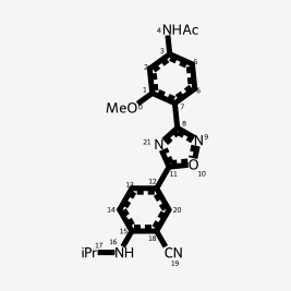 COc1cc(NC(C)=O)ccc1-c1noc(-c2ccc(NC(C)C)c(C#N)c2)n1